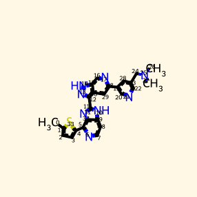 Cc1ccc(-c2nccc3[nH]c(-c4n[nH]c5cnc(-c6cncc(CN(C)C)c6)cc45)nc23)s1